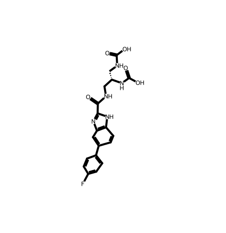 O=C(O)NC[C@@H](CNC(=O)c1nc2cc(-c3ccc(F)cc3)ccc2[nH]1)NC(=O)O